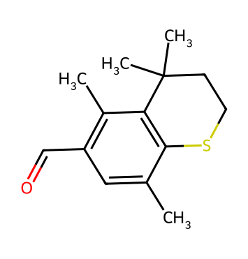 Cc1cc(C=O)c(C)c2c1SCCC2(C)C